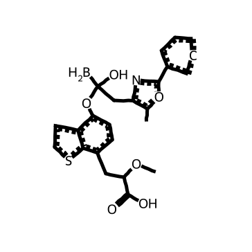 BC(O)(Cc1nc(-c2ccccc2)oc1C)Oc1ccc(CC(OC)C(=O)O)c2sccc12